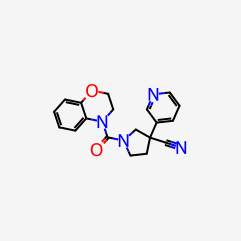 N#CC1(c2cccnc2)CCN(C(=O)N2CCOc3ccccc32)C1